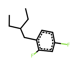 CCC(CC)Cc1ccc(F)cc1F